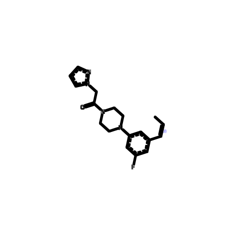 C/C=C\c1cc(F)cc(N2CCN(C(=O)Cn3cccn3)CC2)c1